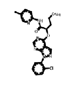 COCCC(Oc1ncnc2c1cnn2-c1ccccc1Cl)C(=O)Nc1ccc(C)cn1